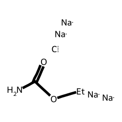 CCOC(N)=O.[C].[Na].[Na].[Na].[Na]